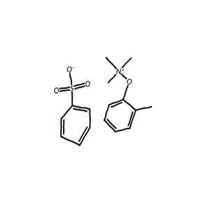 Cc1ccccc1O[N+](C)(C)C.O=S(=O)([O-])c1ccccc1